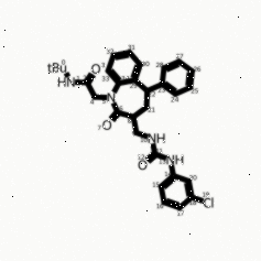 CC(C)(C)NC(=O)CN1C(=O)C(CNC(=O)Nc2cccc(Cl)c2)CC(c2ccccc2)c2ccccc21